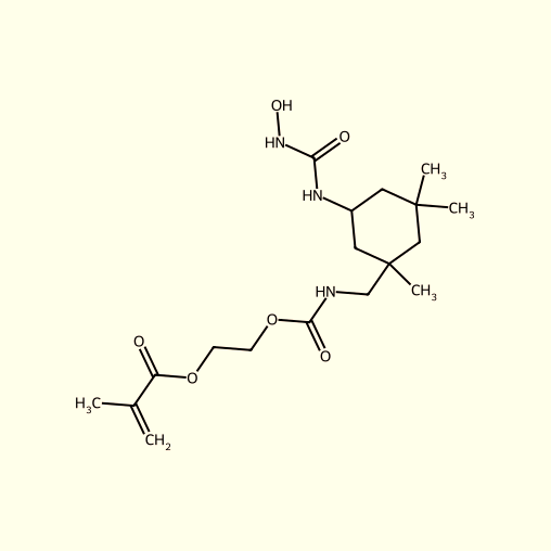 C=C(C)C(=O)OCCOC(=O)NCC1(C)CC(NC(=O)NO)CC(C)(C)C1